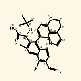 Cc1cc2c(F)c(C=O)ccc2c(-c2ccc3c4c(ccnc24)CCO3)c1[C@@H](OC(C)(C)C)C(=O)O